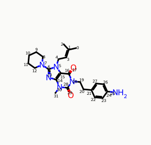 CC(C)=CCn1c(N2CCCCC2)nc2c1c(=O)n(CCc1ccc(N)cc1)c(=O)n2C